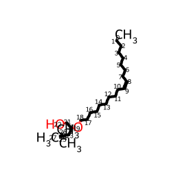 CCCCCCCC/C=C\CCCCCCCCCOC(CO)CC(C)(C)C